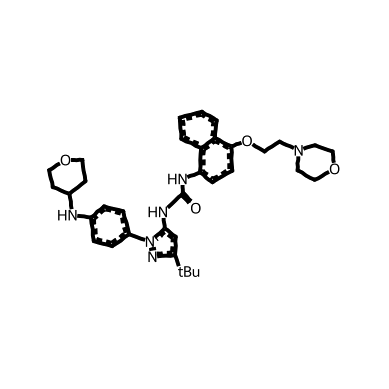 CC(C)(C)c1cc(NC(=O)Nc2ccc(OCCN3CCOCC3)c3ccccc23)n(-c2ccc(NC3CCOCC3)cc2)n1